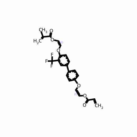 C=CC(=O)O/C=C\Oc1ccc(-c2ccc(O/C=C\OC(=O)C(=C)C)c(C(F)(F)F)c2)cc1